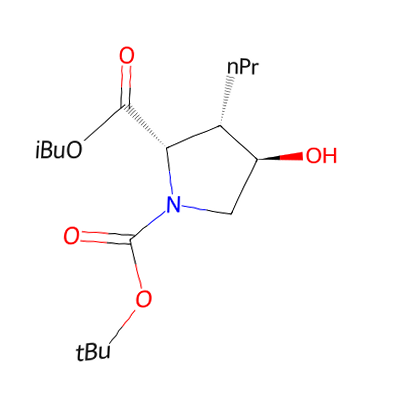 CCC[C@H]1[C@@H](C(=O)OCC(C)C)N(C(=O)OC(C)(C)C)C[C@@H]1O